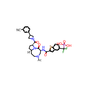 CC(=O)N1CC[C@H]2CC[C@@H](C(=O)N3CC(c4cccc(C#N)c4)C3)N2C(=O)[C@@H](NC(=O)c2cc3cc(C(F)(F)P(=O)(O)O)ccc3s2)C1